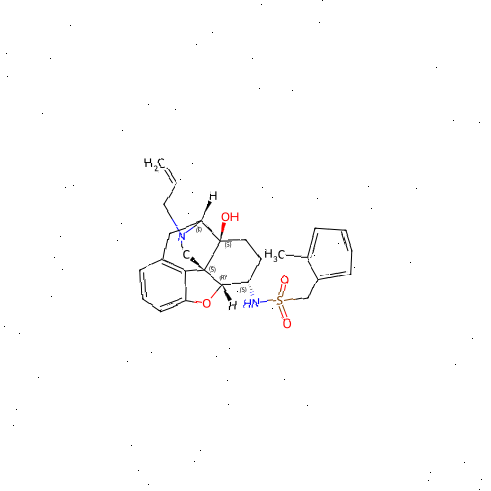 C=CCN1CC[C@]23c4c5cccc4O[C@H]2[C@@H](NS(=O)(=O)Cc2ccccc2C)CC[C@@]3(O)[C@H]1C5